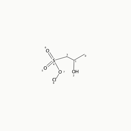 CC(O)CS(=O)(=O)OCl